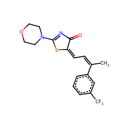 C/C(=C/C=C1/SC(N2CCOCC2)=NC1=O)c1cccc(C(F)(F)F)c1